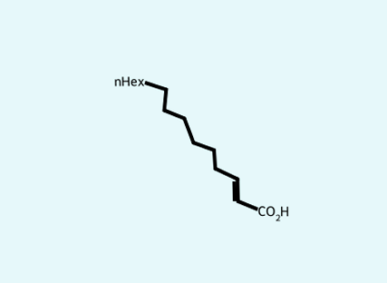 CCCCCCCCCCCC/C=C/C(=O)O